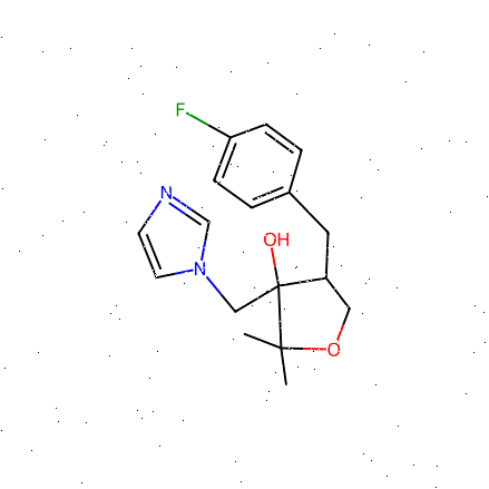 CC1(C)OCC(Cc2ccc(F)cc2)C1(O)Cn1ccnc1